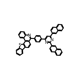 c1ccc2cc(-c3cc(-c4ccc(-c5nc6ccccc6c6c5ccc5c7ccccc7sc56)cc4)nc(-c4ccc5ccccc5c4)n3)ccc2c1